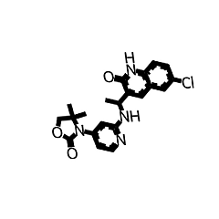 CC(Nc1cc(N2C(=O)OCC2(C)C)ccn1)c1cc2cc(Cl)ccc2[nH]c1=O